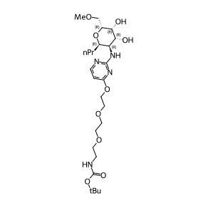 CCC[C@H]1O[C@H](COC)[C@H](O)[C@H](O)[C@H]1Nc1nccc(OCCOCCOCCNC(=O)OC(C)(C)C)n1